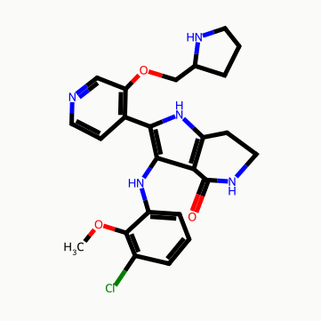 COc1c(Cl)cccc1Nc1c(-c2ccncc2OCC2CCCN2)[nH]c2c1C(=O)NCC2